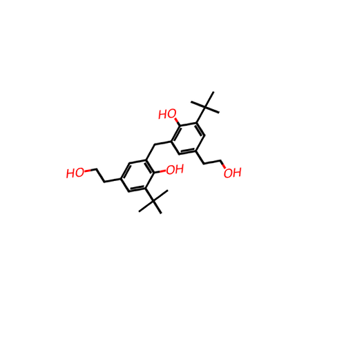 CC(C)(C)c1cc(CCO)cc(Cc2cc(CCO)cc(C(C)(C)C)c2O)c1O